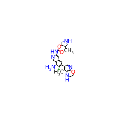 Cc1c(-c2cc3cc(NC(=O)OC4CNCC4C)ncc3c(N)c2F)cnc2c1NCCO2